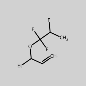 [CH]=CC(CC)OC(F)(F)C(C)F